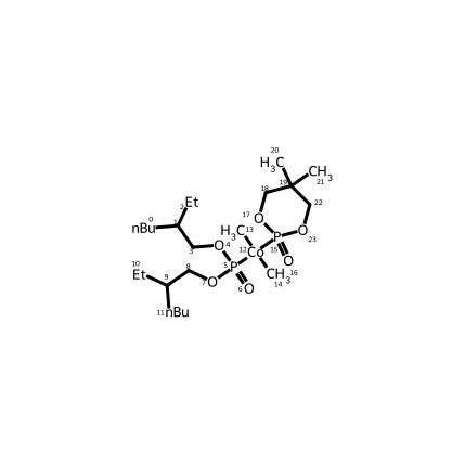 CCCCC(CC)CO[P](=O)(OCC(CC)CCCC)[Co]([CH3])([CH3])[P]1(=O)OCC(C)(C)CO1